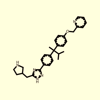 CC(C)C(C)(c1ccc(OCc2ccccn2)cc1)c1ccc(-c2n[nH]c(CC3CCNC3)n2)cc1